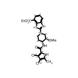 CCOC(=O)c1cccc2nc(N3CC[C@H](NC(=O)c4[nH]c(C)c(Cl)c4Cl)[C@H](OC)C3)sc12